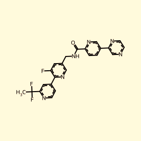 CC(F)(F)c1cc(-c2ncc(CNC(=O)c3ccc(-c4cnccn4)cn3)cc2F)ccn1